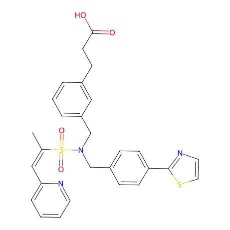 CC(=Cc1ccccn1)S(=O)(=O)N(Cc1ccc(-c2nccs2)cc1)Cc1cccc(CCC(=O)O)c1